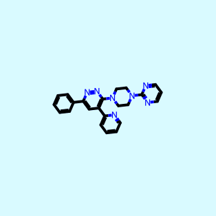 c1ccc(-c2cc(-c3ccccn3)c(N3CCN(c4ncccn4)CC3)nn2)cc1